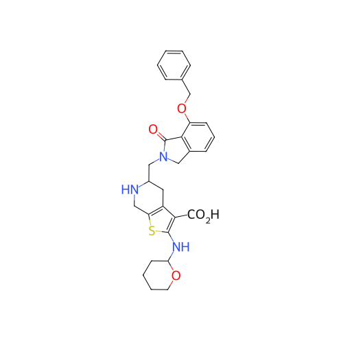 O=C(O)c1c(NC2CCCCO2)sc2c1CC(CN1Cc3cccc(OCc4ccccc4)c3C1=O)NC2